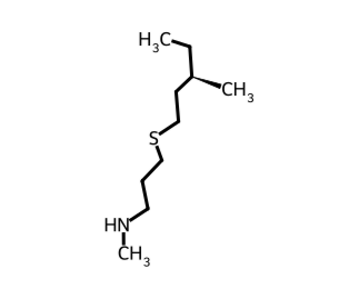 CC[C@@H](C)CCSCCCNC